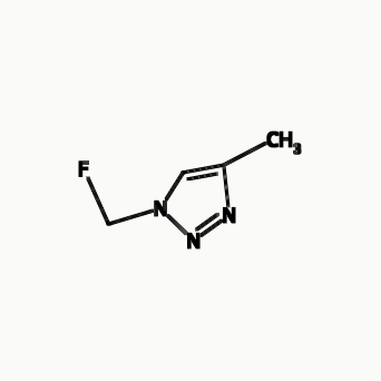 Cc1cn(CF)nn1